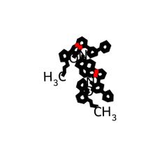 CCCCc1cccc2c1oc1c(N(c3ccc(-c4ccccc4)cc3-c3ccccc3)c3ccc4ccc5c(N(c6ccc(-c7ccccc7)cc6-c6ccccc6)c6cccc7c6oc6c(CCCC)cccc67)ccc6ccc3c4c65)cccc12